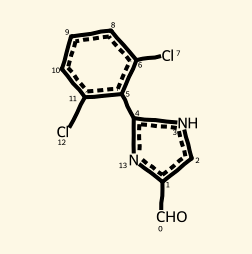 O=Cc1c[nH]c(-c2c(Cl)cccc2Cl)n1